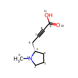 CN1CCC[C@H]1CC#CC(=O)O